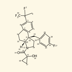 CC(F)(c1ccc2c(c1)CC[C@H]1N(C(=O)C3(O)CC3)CC[C@@]21Cc1ccc(F)cc1)C(F)(F)F